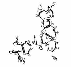 COc1nc(NC(=O)C(=O)N2C[C@@H](C)CC[C@@H]2c2ccc3sc(C[C@H](C)N(C)C)nc3c2)ccc1C(N)=O